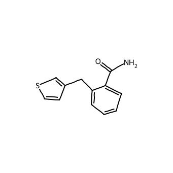 NC(=O)c1ccccc1Cc1ccsc1